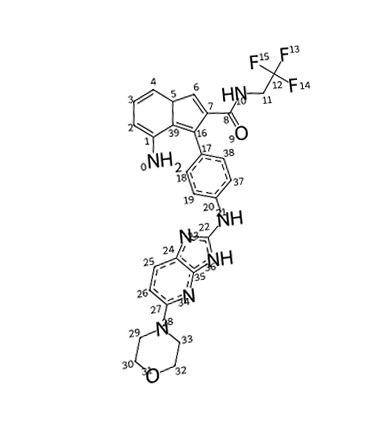 NC1=CC=CC2C=C(C(=O)NCC(F)(F)F)C(c3ccc(Nc4nc5ccc(N6CCOCC6)nc5[nH]4)cc3)=C12